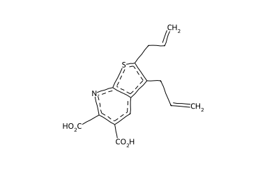 C=CCc1sc2nc(C(=O)O)c(C(=O)O)cc2c1CC=C